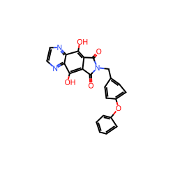 O=C1c2c(c(O)c3nccnc3c2O)C(=O)N1Cc1ccc(Oc2ccccc2)cc1